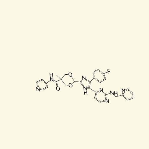 CC1(C(=O)Nc2ccncc2)COC(c2nc(-c3ccc(F)cc3)c(-c3ccnc(NCc4ccccn4)n3)[nH]2)OC1